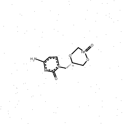 Nc1ccn(C[C@H]2CO[PH](=O)CO2)c(=O)n1